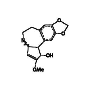 COC1=CC23CCCN2CCc2cc4c(cc2C3C1O)OCO4